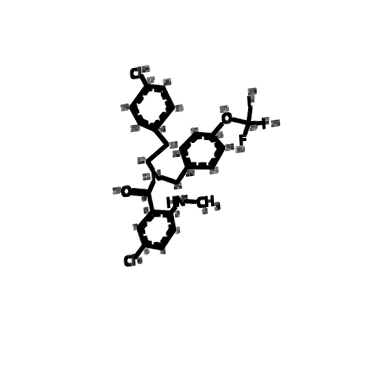 CNc1ccc(Cl)cc1C(=O)N(CCc1ccc(Cl)cc1)Cc1ccc(OC(F)(F)F)cc1